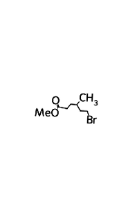 COC(=O)CCC(C)CCBr